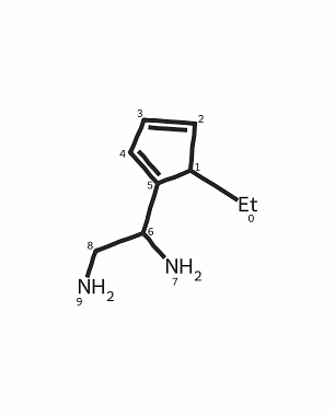 CCC1C=CC=C1C(N)CN